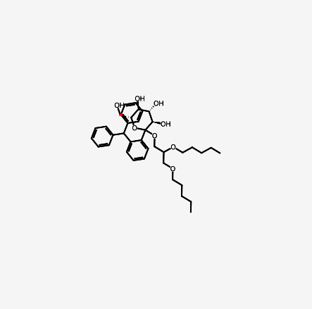 CCCCCOCC(COC1(c2ccccc2C(c2ccccc2)c2ccccc2)O[C@H](CO)[C@@H](O)[C@H](O)[C@H]1O)OCCCCC